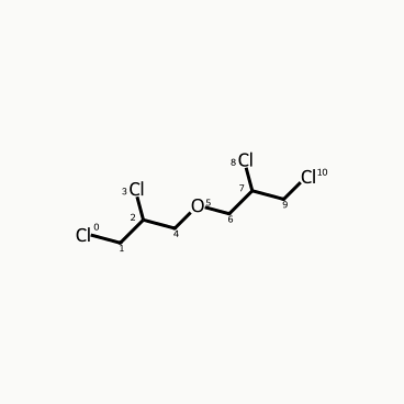 ClCC(Cl)COCC(Cl)CCl